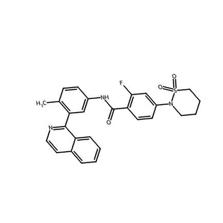 Cc1ccc(NC(=O)c2ccc(N3CCCCS3(=O)=O)cc2F)cc1-c1nccc2ccccc12